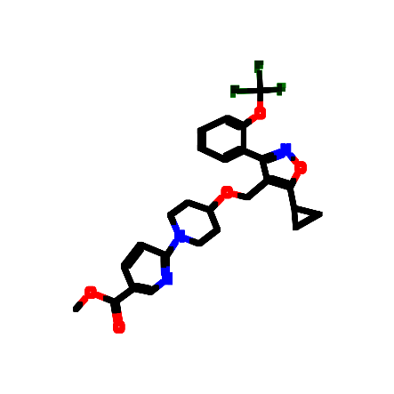 COC(=O)c1ccc(N2CCC(OCc3c(-c4ccccc4OC(F)(F)F)noc3C3CC3)CC2)nc1